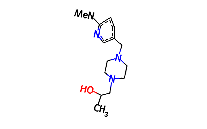 CNc1ccc(CN2CCN(CC(C)O)CC2)cn1